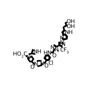 Cn1c(-c2cn(-c3ccc4[nH]c(C[C@H](O)CO)cc4n3)nc2C(F)(F)F)cnc1C(=O)Nc1ccc(C(=O)N2CCN(C(=O)C3CC[N+](CC(=O)O)(CC4CNC4)CC3)CC2)c(Cl)c1